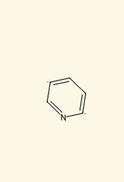 [c]1cc[c]nc1